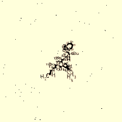 C=CCNC(=O)C(=O)C(CCCC)NC(=O)[C@@H]1[C@@H]2[C@H](CN1C(=O)[C@@H](NC(=O)N[C@H](CN1CCCCS1(=O)=O)C(C)(C)C)C(C)(C)C)C2(C)C